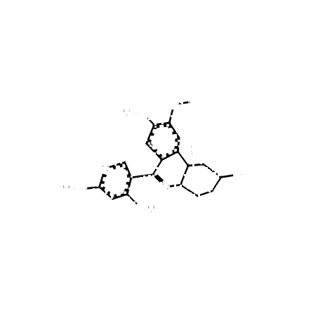 CCOc1cc2c(cc1OC)C(c1cnc(OC)cc1OC)=NC1CCC(O)C[C@H]21